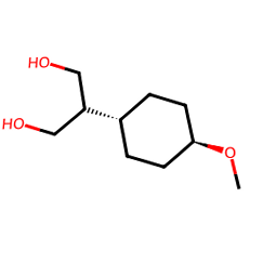 CO[C@H]1CC[C@H](C(CO)CO)CC1